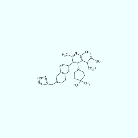 Cc1nc(C)c(C(OC(C)(C)C)C(=O)O)c(N2CCC(C)(C)CC2)c1-c1ccc2c(c1)CCN(Cc1cn[nH]c1)C2